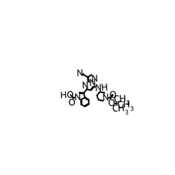 CC(C)(C)OC(=O)N1CCC[C@H](Nc2cc(-c3cn(C(=O)O)c4ccccc34)nc3c(C#N)cnn23)C1